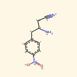 N#CCC(N)Cc1ccc([N+](=O)[O-])cc1